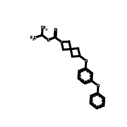 O=C(OC(C(F)(F)F)C(F)(F)F)N1CC2(CC(Oc3cccc(Oc4ccccc4)c3)C2)C1